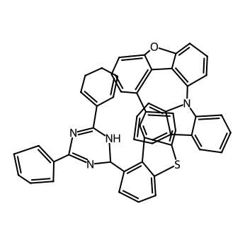 C1=CC(C2=NC(c3ccccc3)=NC(c3cccc4sc5ccc(-c6cccc7oc8cccc(-n9c%10ccccc%10c%10ccccc%109)c8c67)cc5c34)N2)=CCC1